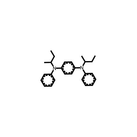 CCC(C)N(c1ccccc1)c1ccc(N(c2ccccc2)C(C)CC)cc1